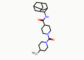 O=C(O)C1CCN(C(=O)N2CCC(C(=O)NC3C4CC5CC(C4)CC3C5)CC2)CC1